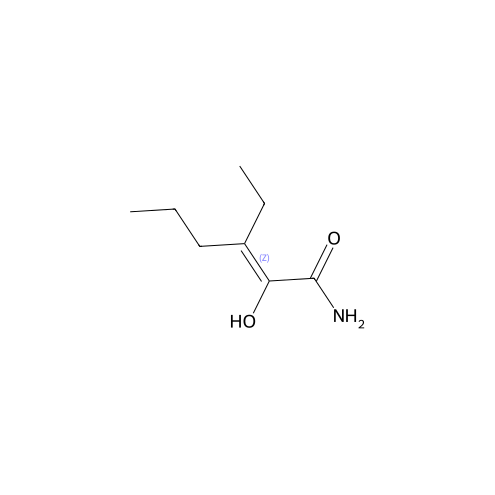 CCC/C(CC)=C(\O)C(N)=O